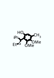 CCSC(c1c(O)cc(C)c(OC)c1OC)C(C)C